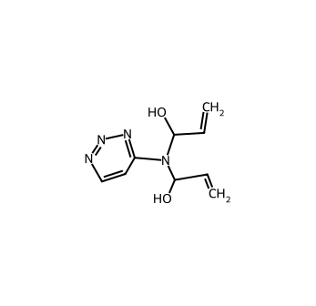 C=CC(O)N(c1ccnnn1)C(O)C=C